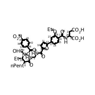 CCCCCC(C(=O)NCNC(=O)c1ccc(-c2ccc(C(=O)NC(CC(=O)O)C(=O)O)c(OCC)c2)o1)[C@@H](CC)N(C=O)OC(=O)c1ccc([N+](=O)[O-])cc1